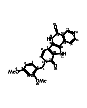 COc1ccc(Cn2ccc3c([nH]c4c5ccncc5c(=O)[nH]c34)c2=O)c(OC)c1